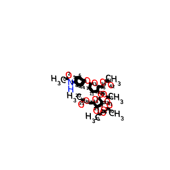 CC(=O)Nc1ccc(O[C@@H]2C=C[C@H](O[C@H]3OC(COC(C)=O)[C@@H](OC(C)=O)C(OC(C)=O)[C@H]3OC(C)=O)C(COC(C)=O)O2)cc1